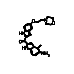 CC1C(N)=CC=C2NC(C(=O)c3cc4cc(OCCN5CCOCC5)ccc4[nH]3)=CC21